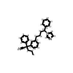 CCCC(C#N)(c1ccccc1)c1cccc(CCCC(c2ccccc2)n2ccnc2)c1